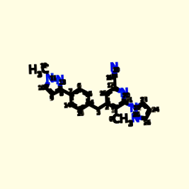 Cc1c(Cc2ccc(-c3ccn(C)n3)cc2)cc(C#N)nc1-n1cccn1